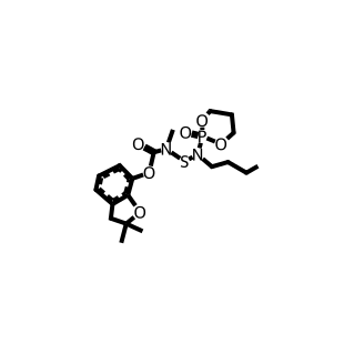 CCCCN(SN(C)C(=O)Oc1cccc2c1OC(C)(C)C2)P1(=O)OCCCO1